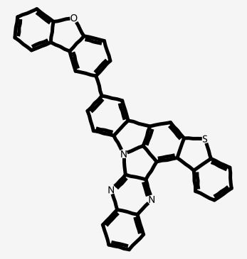 c1ccc2nc3c(nc2c1)c1c2c(cc4c5cc(-c6ccc7oc8ccccc8c7c6)ccc5n3c41)sc1ccccc12